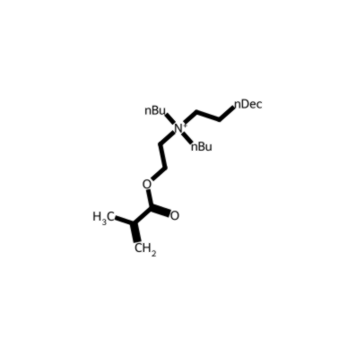 C=C(C)C(=O)OCC[N+](CCCC)(CCCC)CCCCCCCCCCCC